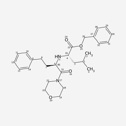 CC(C)C[C@H](N[C@H](CCc1ccccc1)C(=O)N1CCOCC1)C(=O)OCc1ccccc1